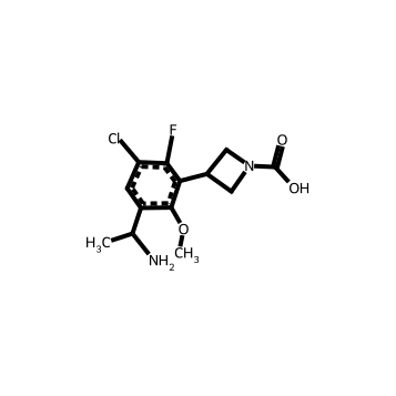 COc1c(C(C)N)cc(Cl)c(F)c1C1CN(C(=O)O)C1